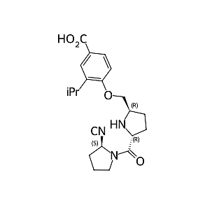 CC(C)c1cc(C(=O)O)ccc1OC[C@H]1CC[C@H](C(=O)N2CCC[C@H]2C#N)N1